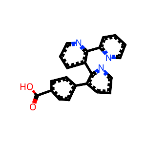 O=C(O)c1ccc(-c2cccnc2-c2cccnc2-c2ccccn2)cc1